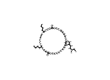 CCCCC1CCCCCCC(CCCC)CCOC(=O)CCCCCCCCCC2(CCCCCCCCCC(=O)OCC1)OCC(CCN(C)CC)O2